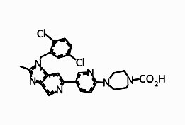 Cc1nc2cnc(-c3ccc(N4CCN(C(=O)O)CC4)nc3)cc2n1Cc1cc(Cl)ccc1Cl